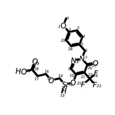 COc1ccc(Cn2ncc(O[Si@@H](C)COCCC(=O)O)c(C(F)(F)F)c2=O)cc1